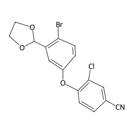 N#Cc1ccc(Oc2ccc(Br)c(C3OCCO3)c2)c(Cl)c1